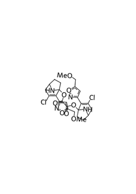 COCc1cc(C2=C(Cl)CC3CCC2(OC(=O)C(=O)OC24CCC(CC(Cl)=C2c2cc(COC)on2)N4)N3)no1